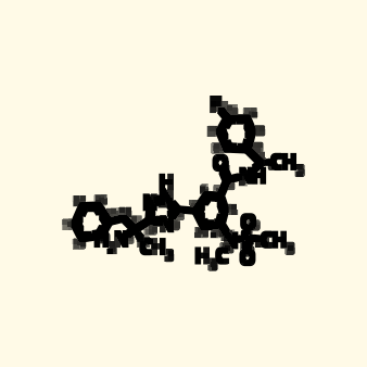 C[C@@H](NC(=O)c1cc(-c2nc([C@](C)(N)Cc3ccccc3)n[nH]2)cc(N(C)S(C)(=O)=O)c1)c1ccc(F)cc1